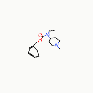 CCN(C(=O)OCC1=CC=CCC1)C1CCN(C)CC1